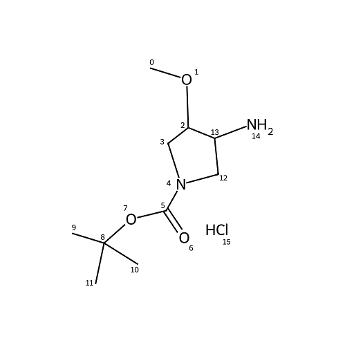 COC1CN(C(=O)OC(C)(C)C)CC1N.Cl